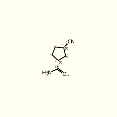 N#C[C@@H]1CC[C@@H](C(N)=O)C1